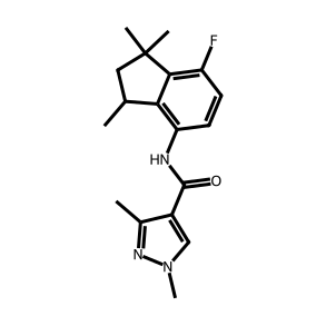 Cc1nn(C)cc1C(=O)Nc1ccc(F)c2c1C(C)CC2(C)C